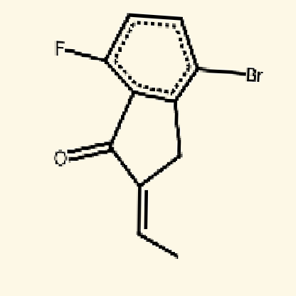 C/C=C1\Cc2c(Br)ccc(F)c2C1=O